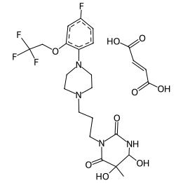 CC1(O)C(=O)N(CCCN2CCN(c3ccc(F)cc3OCC(F)(F)F)CC2)C(=O)NC1O.O=C(O)C=CC(=O)O